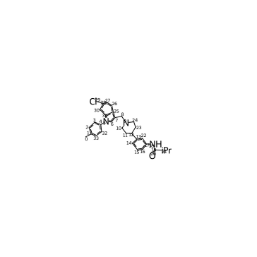 Cc1ccc(-n2cc(CN3CCC(c4cccc(NC(=O)C(C)C)c4)CC3)c3ccc(Cl)cc32)cc1